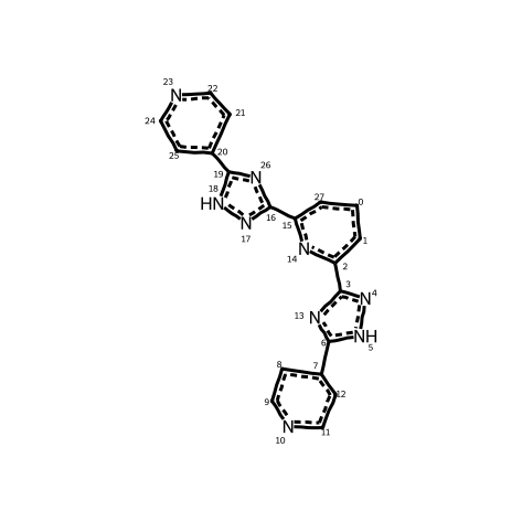 c1cc(-c2n[nH]c(-c3ccncc3)n2)nc(-c2n[nH]c(-c3ccncc3)n2)c1